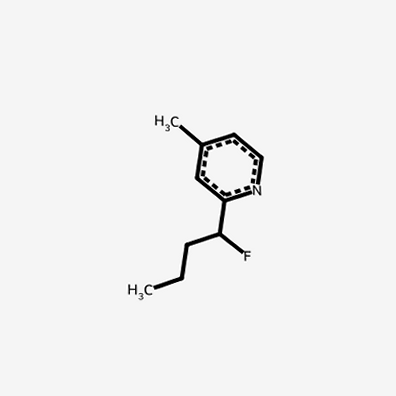 CCCC(F)c1cc(C)ccn1